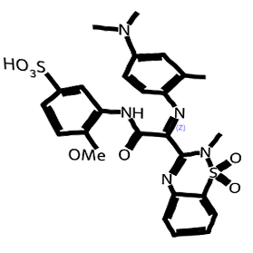 COc1ccc(S(=O)(=O)O)cc1NC(=O)/C(=N\c1ccc(N(C)C)cc1C)C1=Nc2ccccc2S(=O)(=O)N1C